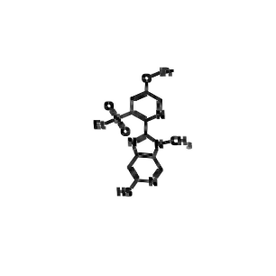 CCS(=O)(=O)c1cc(OC(C)C)cnc1-c1nc2cc(S)ncc2n1C